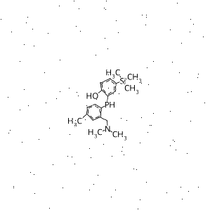 Cc1ccc(Pc2cc([Si](C)(C)C)ccc2O)c(CN(C)C)c1